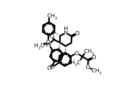 COC(=O)C(C)(C)Oc1ccc(Cl)cc1[C@H]1CC(=O)N[C@@H](c2cc(C)ccc2OC)[C@]12C(=O)Nc1cc(Cl)ccc12